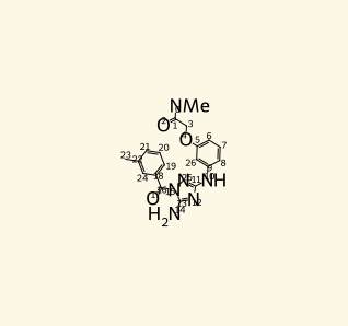 CNC(=O)COc1cccc(Nc2nc(N)n(C(=O)c3cccc(C)c3)n2)c1